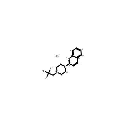 Br.FC(F)(F)CN1CCN(c2ccc3ccccc3n2)CC1